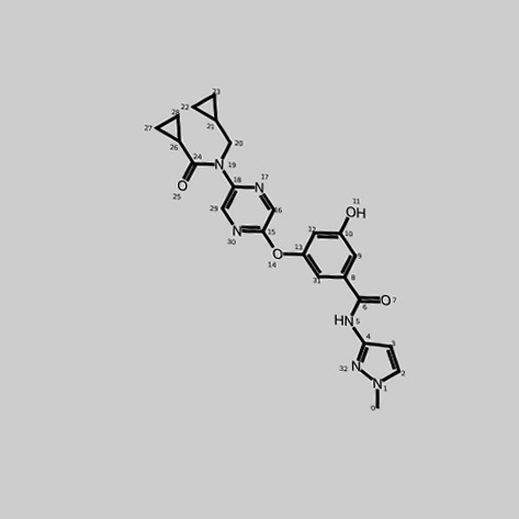 Cn1ccc(NC(=O)c2cc(O)cc(Oc3cnc(N(CC4CC4)C(=O)C4CC4)cn3)c2)n1